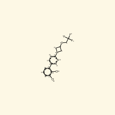 FC(F)(F)COC1CN(c2ncc(-c3cccc(Cl)c3Cl)nn2)C1